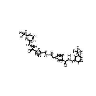 O=C(NCc1cncc(C(F)(F)F)c1)c1cn(CC(F)CCc2nnc(C(=O)NCc3cccc(C(F)(F)I)n3)s2)nn1